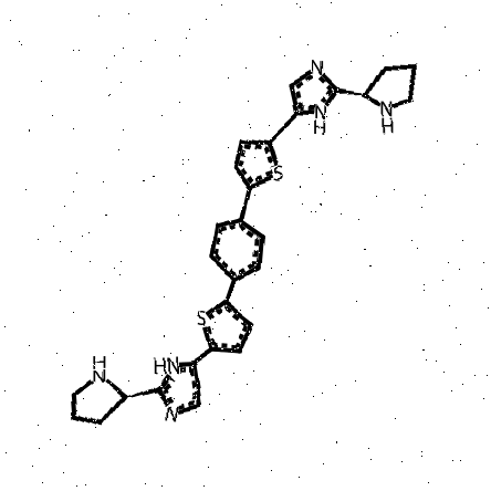 c1cc(-c2ccc(-c3cnc([C@H]4CCCN4)[nH]3)s2)ccc1-c1ccc(-c2cnc([C@H]3CCCN3)[nH]2)s1